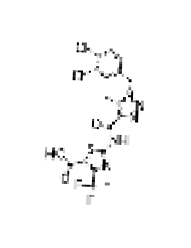 Cc1c(C(=O)Nc2nc(C(F)(F)F)c(C(=O)O)s2)nnn1Cc1ccc(Cl)c(Cl)c1